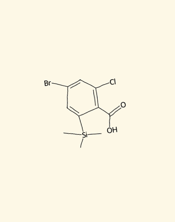 C[Si](C)(C)c1cc(Br)cc(Cl)c1C(=O)O